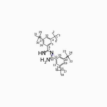 CC(C)(C)c1cc(C(=N)/N=C(\N)c2cc(C(C)(C)C)cc(C(C)(C)C)c2)cc(C(C)(C)C)c1